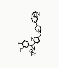 CCON=C(c1ccc(F)c(F)c1)c1ccc(CN2CCC(c3ccn4ccnc4c3)CC2)cn1